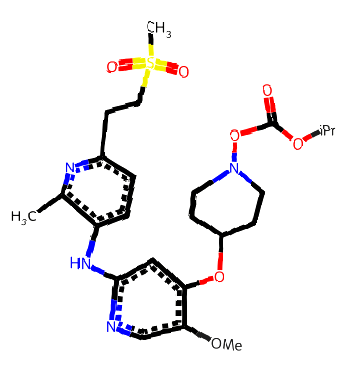 COc1cnc(Nc2ccc(CCS(C)(=O)=O)nc2C)cc1OC1CCN(OC(=O)OC(C)C)CC1